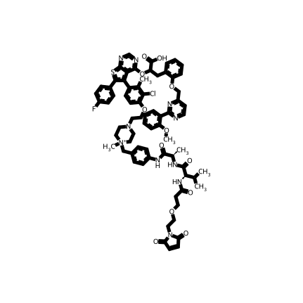 COc1ccccc1-c1nccc(COc2ccccc2CC(Oc2ncnc3sc(-c4ccc(F)cc4)c(-c4ccc(OCCN5CC[N+](C)(Cc6ccc(NC(=O)[C@H](C)NC(=O)[C@@H](NC(=O)CCOCCN7C(=O)C=CC7=O)C(C)C)cc6)CC5)c(Cl)c4C)c23)C(=O)O)n1